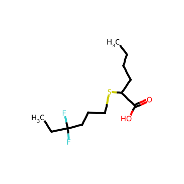 CCCCC(SCCCC(F)(F)CC)C(=O)O